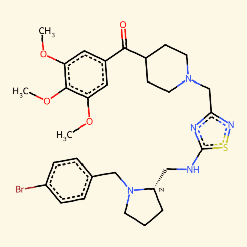 COc1cc(C(=O)C2CCN(Cc3nsc(NC[C@@H]4CCCN4Cc4ccc(Br)cc4)n3)CC2)cc(OC)c1OC